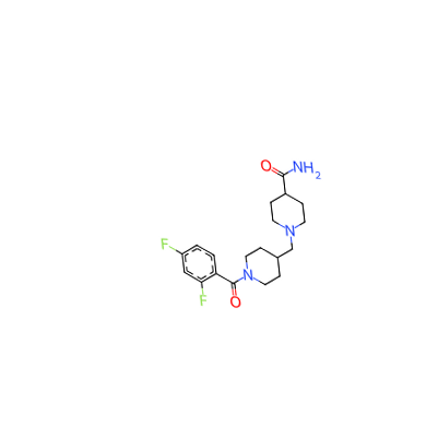 NC(=O)C1CCN(CC2CCN(C(=O)c3ccc(F)cc3F)CC2)CC1